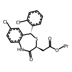 CC(C)OC(=O)C[C@@H]1S[C@@H](c2ccccc2Cl)c2cc(Cl)ccc2NC1=O